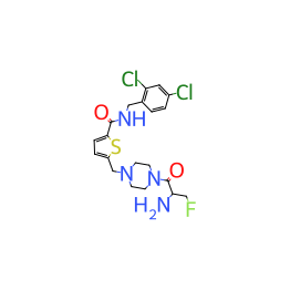 NC(CF)C(=O)N1CCN(Cc2ccc(C(=O)NCc3ccc(Cl)cc3Cl)s2)CC1